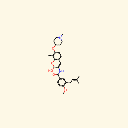 COc1ccc(C(=O)NC2=Cc3ccc(OC4CCN(C)CC4)c(C)c3OC2O)cc1CC=C(C)C